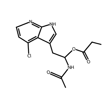 CCC(=O)OC(Cc1c[nH]c2nccc(Cl)c12)NC(C)=O